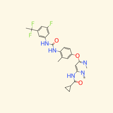 C=N/C(=C\C(=N/C)Oc1ccc(NC(=O)Nc2cc(F)cc(C(C)(F)F)c2)c(C)c1)NC(=O)C1CC1